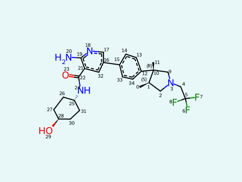 C[C@@H]1CN(CC(F)(F)F)C[C@@]1(C)c1ccc(-c2cnc(N)c(C(=O)N[C@H]3CC[C@H](O)CC3)c2)cc1